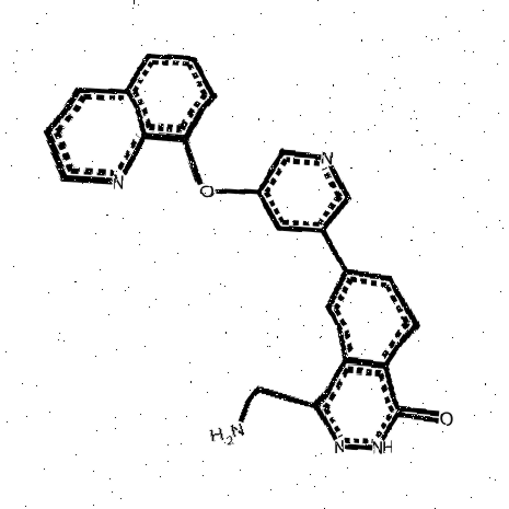 NCc1n[nH]c(=O)c2ccc(-c3cncc(Oc4cccc5cccnc45)c3)cc12